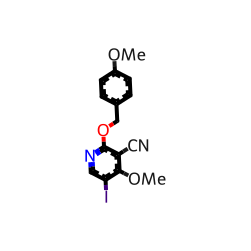 COc1ccc(COc2ncc(I)c(OC)c2C#N)cc1